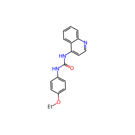 CCOc1ccc(NC(=O)Nc2ccnc3ccccc23)cc1